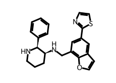 c1ccc([C@@H]2NCCC[C@@H]2NCc2cc(-c3nccs3)cc3ccoc23)cc1